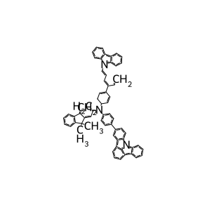 C=C/C(=C\C=C\n1c2ccccc2c2ccccc21)C1=CCC(N(C(=C)/C=C2\C(=C)c3ccccc3C2(C)C)c2ccc(-c3ccc4c(c3)c3cccc5c6ccccc6n4c53)cc2)C=C1